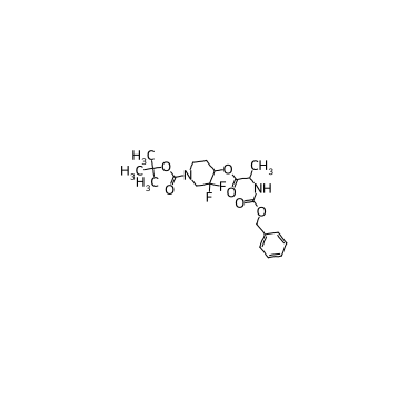 CC(NC(=O)OCc1ccccc1)C(=O)OC1CCN(C(=O)OC(C)(C)C)CC1(F)F